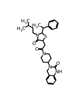 CC(C)CCN1C(=O)C(CC(=O)N2CCC(N3Cc4ccccc4NC3=O)CC2)SC1C(C)c1ccccc1